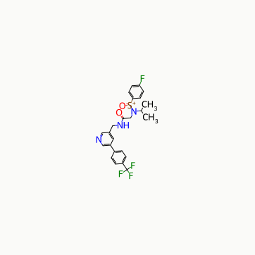 CC(C)N(CC(=O)NCc1cncc(-c2ccc(C(F)(F)F)cc2)c1)[S+]([O-])c1ccc(F)cc1